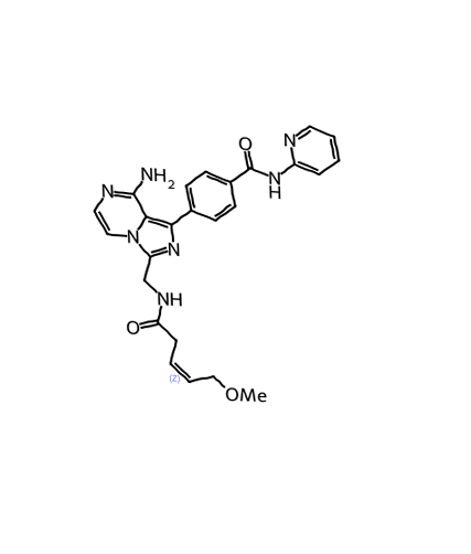 COC/C=C\CC(=O)NCc1nc(-c2ccc(C(=O)Nc3ccccn3)cc2)c2c(N)nccn12